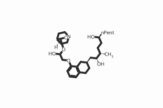 CCCCC[C@H](O)CC[C@H](C)[C@H](O)C[C@H]1CCc2cccc(OCC(O)O[C@@H]3CN4CCC3CC4)c2C1